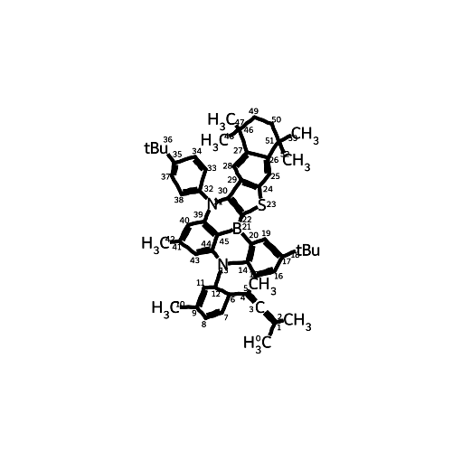 CC(C)=C=C(C)C1C=CC(C)=CC1N1c2ccc(C(C)(C)C)cc2B2c3sc4cc5c(cc4c3N(c3ccc(C(C)(C)C)cc3)c3cc(C)cc1c32)C(C)(C)CCC5(C)C